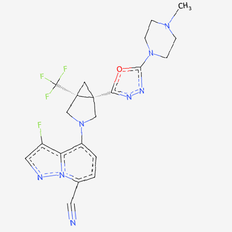 CN1CCN(c2nnc([C@]34CN(c5ccc(C#N)n6ncc(F)c56)C[C@@]3(C(F)(F)F)C4)o2)CC1